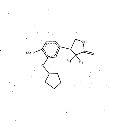 [2H]C1([2H])C(=C)NCC1c1ccc(OC)c(OC2CCCC2)c1